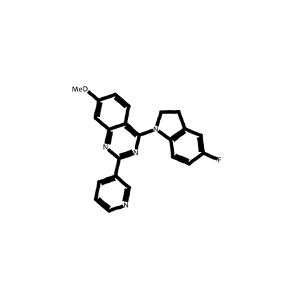 COc1ccc2c(N3CCc4cc(F)ccc43)nc(-c3cccnc3)nc2c1